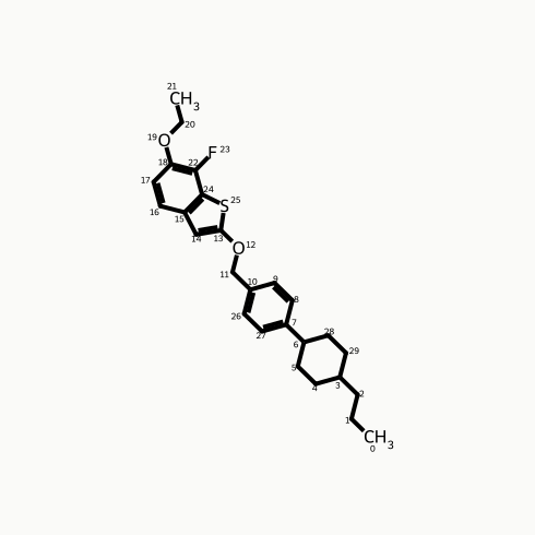 CCCC1CCC(c2ccc(COc3cc4ccc(OCC)c(F)c4s3)cc2)CC1